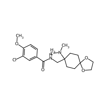 COc1ccc(C(=O)NCC2(N(C)C)CCC3(CC2)OCCO3)cc1Cl